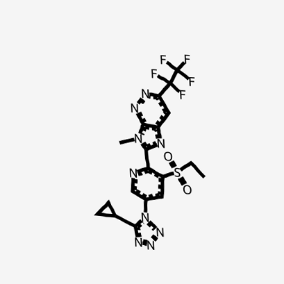 CCS(=O)(=O)c1cc(-n2nnnc2C2CC2)cnc1-c1nc2cc(C(F)(F)C(F)(F)F)nnc2n1C